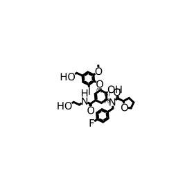 COc1cc(CO)cc(I)c1O[C@H]1C=C(C(=O)NCCO)C[C@@H](N(Cc2ccc(F)cc2)C(=O)C2CCCO2)[C@@H]1O